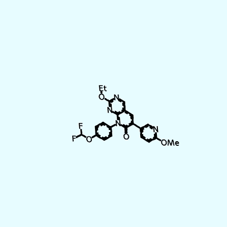 CCOc1ncc2cc(-c3ccc(OC)nc3)c(=O)n(-c3ccc(OC(F)F)cc3)c2n1